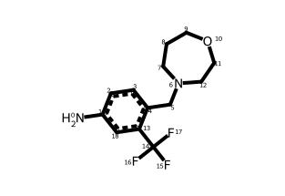 Nc1ccc(CN2CCCOCC2)c(C(F)(F)F)c1